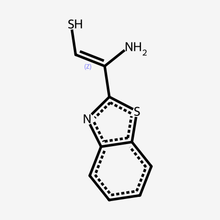 N/C(=C\S)c1nc2ccccc2s1